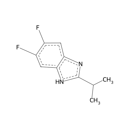 CC(C)c1nc2cc(F)c(F)cc2[nH]1